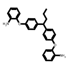 CCCC(c1ccc(Oc2ccccc2N)cc1)c1ccc(Oc2ccccc2N)cc1